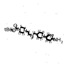 CN(CCN1CCN(C(=O)OC(C)(C)C)CC1)CC1CCN(c2ccc(N)nc2)CC1